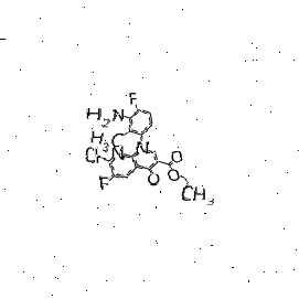 CCOC(=O)c1cn(-c2ccc(F)c(N)c2C)c2nc(Cl)c(F)cc2c1=O